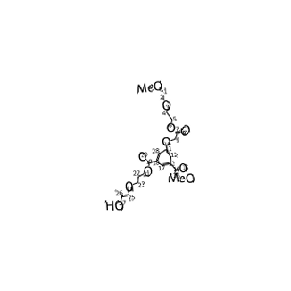 COCCOCCOC(=O)COc1cc(C(=O)OC)cc(C(=O)OCCOCCO)c1